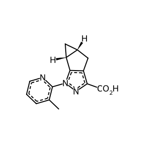 Cc1cccnc1-n1nc(C(=O)O)c2c1[C@@H]1C[C@@H]1C2